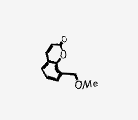 COCc1cccc2ccc(=O)oc12